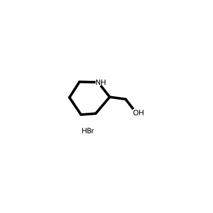 Br.OCC1CCCCN1